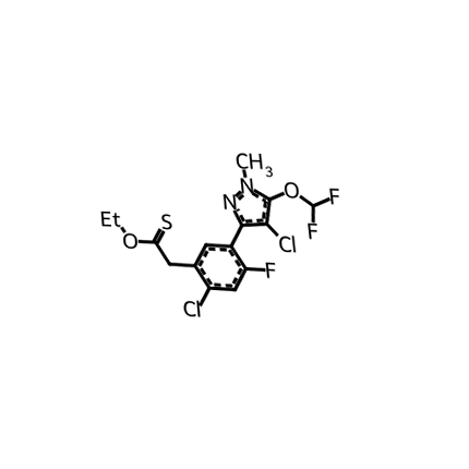 CCOC(=S)Cc1cc(-c2nn(C)c(OC(F)F)c2Cl)c(F)cc1Cl